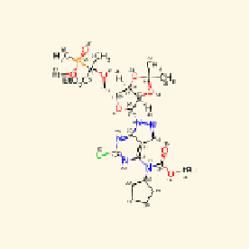 CCOC(=O)C(C)(OC[C@H]1O[C@@H](n2ncc3c(N(C(=O)OC(C)(C)C)C4CCCC4)nc(Cl)nc32)[C@@H]2OC(C)(C)O[C@@H]21)P(C)(=O)OCC